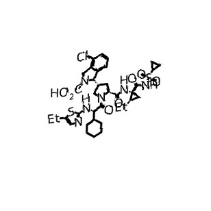 CCc1cnc(N[C@H](C(=O)N2C[C@H](C3c4cccc(Cl)c4CN3C(=O)O)C[C@H]2C(=O)N[C@]2(C(=O)NS(=O)(=O)C3CC3)C[C@H]2CC)C2CCCCC2)s1